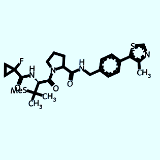 CSC(C)(C)[C@H](NC(=O)C1(F)CC1)C(=O)N1CCCC1C(=O)NCc1ccc(-c2scnc2C)cc1